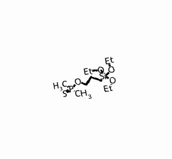 CCO[Si](CCCOP(C)(C)=S)(OCC)OCC